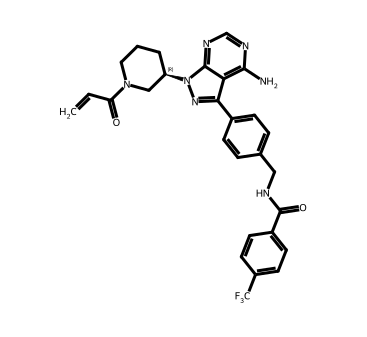 C=CC(=O)N1CCC[C@@H](n2nc(-c3ccc(CNC(=O)c4ccc(C(F)(F)F)cc4)cc3)c3c(N)ncnc32)C1